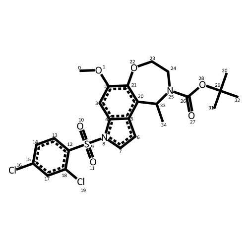 COc1cc2c(ccn2S(=O)(=O)c2ccc(Cl)cc2Cl)c2c1OCCN(C(=O)OC(C)(C)C)C2C